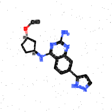 Nc1nc(N[C@H]2CC[C@H](OC=O)C2)c2ccc(-c3ccn[nH]3)cc2n1